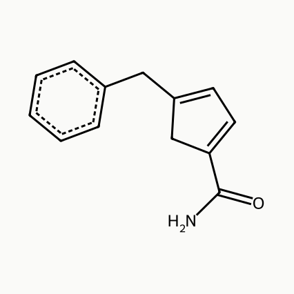 NC(=O)C1=CC=C(Cc2ccccc2)C1